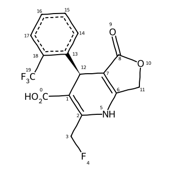 O=C(O)C1=C(CF)NC2=C(C(=O)OC2)[C@@H]1c1ccccc1C(F)(F)F